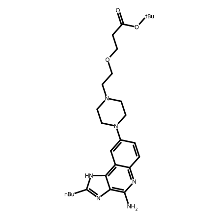 CCCCc1nc2c(N)nc3ccc(N4CCN(CCOCCC(=O)OC(C)(C)C)CC4)cc3c2[nH]1